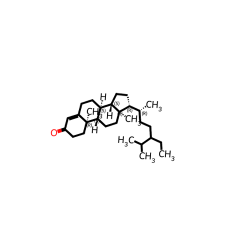 CCC(CC[C@@H](C)[C@H]1CC[C@H]2[C@@H]3CCC4=CC(=O)CC[C@]4(C)[C@H]3CC[C@]12C)C(C)C